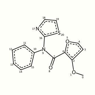 COc1ccoc1C(=O)N(c1ccccc1)c1nccs1